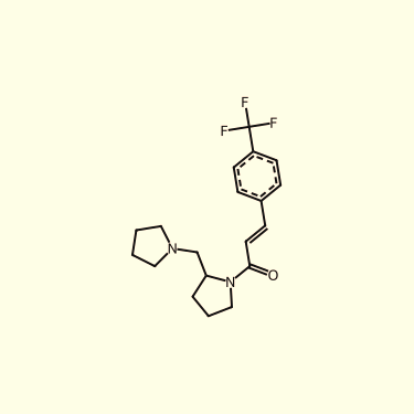 O=C(C=Cc1ccc(C(F)(F)F)cc1)N1CCCC1CN1CCCC1